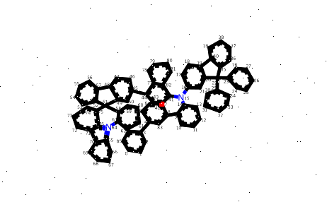 c1ccc(-c2cccc(-c3ccccc3N(c3ccc4c(c3)C(c3ccccc3)(c3ccccc3)c3ccccc3-4)c3ccc(-c4ccc5c(c4)C4(c6ccccc6-5)c5ccccc5-n5c6ccccc6c6cccc4c65)c4ccccc34)c2)cc1